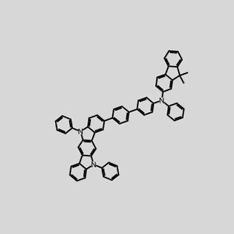 CC1(C)c2ccccc2-c2ccc(N(c3ccccc3)c3ccc(-c4ccc(-c5ccc6c(c5)c5cc7c(cc5n6-c5ccccc5)c5ccccc5n7-c5ccccc5)cc4)cc3)cc21